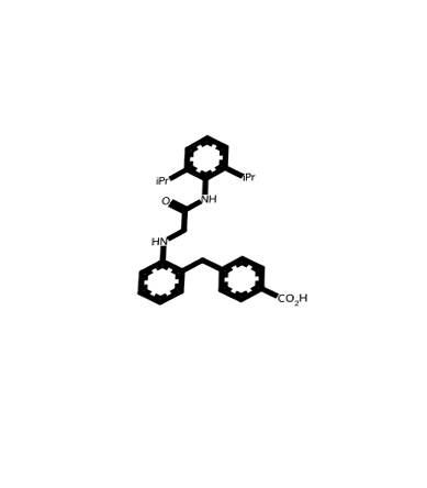 CC(C)c1cccc(C(C)C)c1NC(=O)CNc1ccccc1Cc1ccc(C(=O)O)cc1